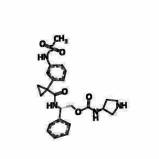 CS(=O)(=O)Nc1cccc(C2(C(=O)N[C@H](COC(=O)N[C@H]3CCNC3)c3ccccc3)CC2)c1